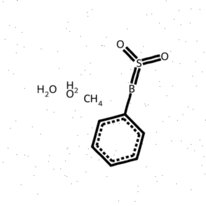 C.O.O.O=S(=O)=Bc1ccccc1